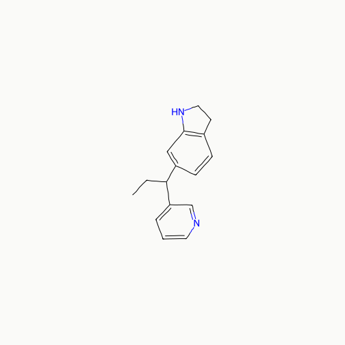 CCC(c1cccnc1)c1ccc2c(c1)NCC2